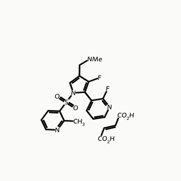 CNCc1cn(S(=O)(=O)c2cccnc2C)c(-c2cccnc2F)c1F.O=C(O)C=CC(=O)O